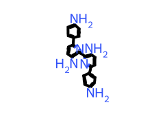 Nc1ccc(-c2ccc(N)c(-c3nc(-c4ccc(N)cc4)ccc3N)n2)cc1